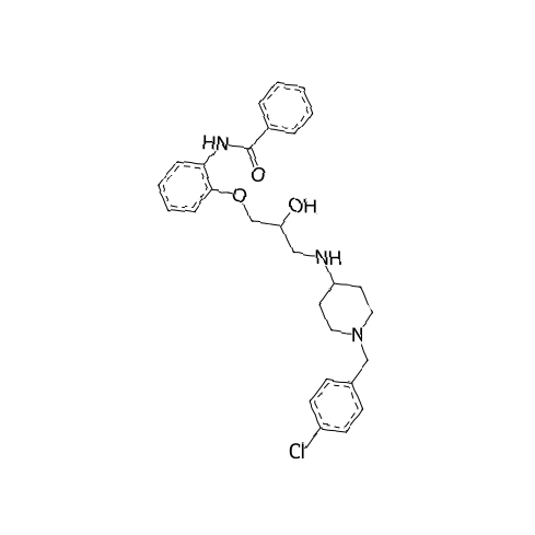 O=C(Nc1ccccc1OCC(O)CNC1CCN(Cc2ccc(Cl)cc2)CC1)c1ccccc1